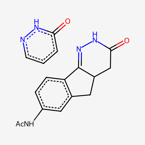 CC(=O)Nc1ccc2c(c1)CC1CC(=O)NN=C21.O=c1cccn[nH]1